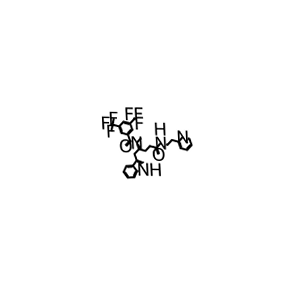 CN(C(=O)c1cc(C(F)(F)F)cc(C(F)(F)F)c1)C(CCC(=O)NCCc1ccccn1)Cc1c[nH]c2ccccc12